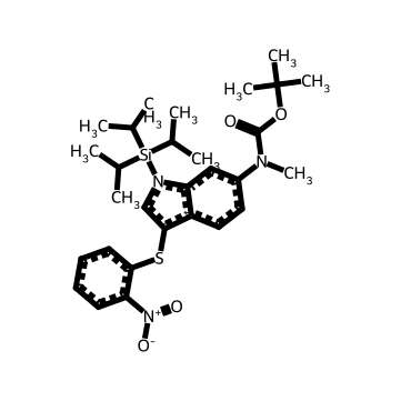 CC(C)[Si](C(C)C)(C(C)C)n1cc(Sc2ccccc2[N+](=O)[O-])c2ccc(N(C)C(=O)OC(C)(C)C)cc21